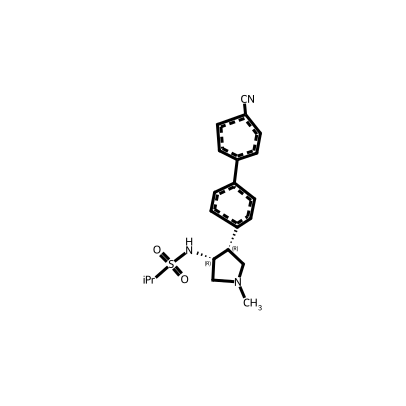 CC(C)S(=O)(=O)N[C@H]1CN(C)C[C@H]1c1ccc(-c2ccc(C#N)cc2)cc1